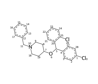 Clc1ccc(C(OC2CCN(Cc3ccccc3)CC2)c2ccccc2Cl)cc1